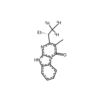 [2H]C([2H])([2H])[C@@H](CC)c1nc2[nH]c3ccccc3n2c(=O)c1C